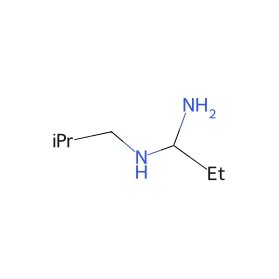 CCC(N)NCC(C)C